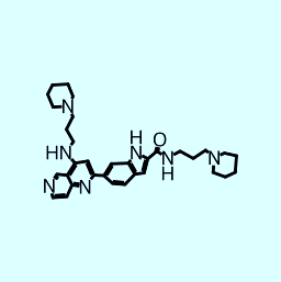 O=C(NCCCN1CCCCC1)c1cc2ccc(-c3cc(NCCCN4CCCCC4)c4cnccc4n3)cc2[nH]1